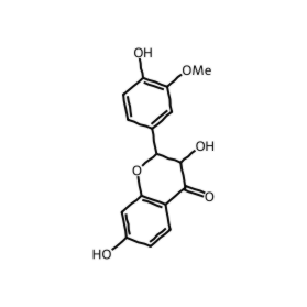 COc1cc(C2Oc3cc(O)ccc3C(=O)C2O)ccc1O